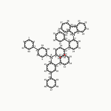 c1ccc(-c2ccc(N(c3ccc(-c4cccc(-n5c6ccccc6c6ccccc65)c4-c4ccccc4)cc3)c3ccc(-c4ccccc4)cc3-c3ccccc3)cc2)cc1